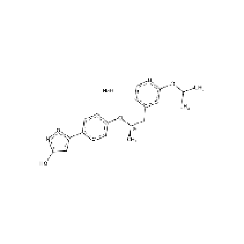 CC(C)Oc1cc(C[C@@H](C)Oc2ccc(-c3cc(O)no3)cc2)ccn1.[NaH]